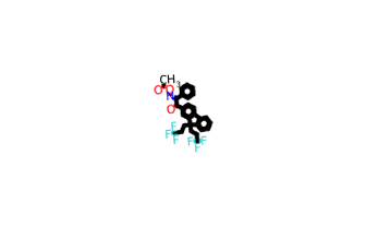 CC(=O)O/N=C(/C(=O)c1ccc2c(c1)C(CCC(F)(F)F)(CCC(F)(F)F)c1ccccc1-2)c1ccccc1